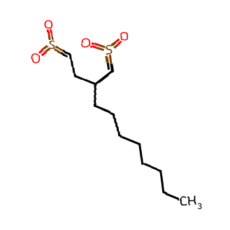 CCCCCCCCC(C=S(=O)=O)CC=S(=O)=O